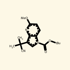 COc1ccc2c(n1)c(C(C)(C)C#N)cn2C(=O)OC(C)(C)C